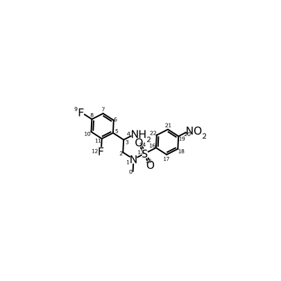 CN(CC(N)c1ccc(F)cc1F)S(=O)(=O)c1ccc([N+](=O)[O-])cc1